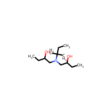 CCC(O)CN(CC(O)CC)C(C)(C)CC